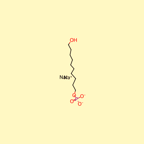 O=P([O-])([O-])OCCCCCCCCCCO.[Na+].[Na+]